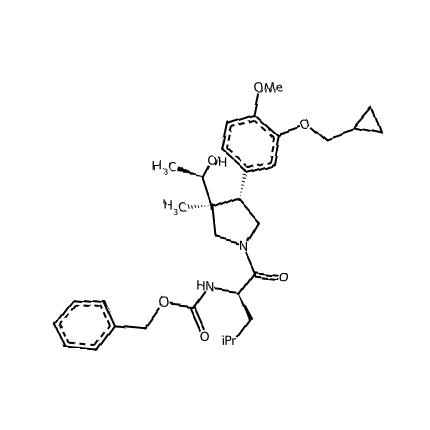 COc1ccc([C@@H]2CN(C(=O)[C@@H](CC(C)C)NC(=O)OCc3ccccc3)C[C@@]2(C)[C@@H](C)O)cc1OCC1CC1